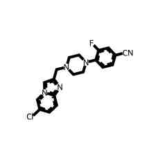 N#Cc1ccc(N2CCN(Cc3cn4cc(Cl)ccc4n3)CC2)c(F)c1